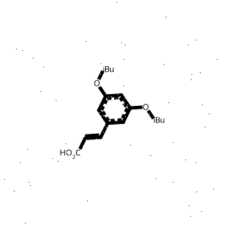 CCC(C)Oc1cc(/C=C/C(=O)O)cc(OC(C)CC)c1